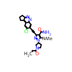 C=CC(=O)N1CC[C@H](n2nc(C#Cc3cc4nnc5c(c4cc3Cl)CCC5)c(C(N)=O)c2NC)C1